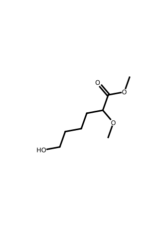 COC(=O)C(CCCCO)OC